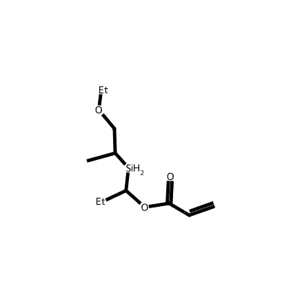 C=CC(=O)OC(CC)[SiH2]C(C)COCC